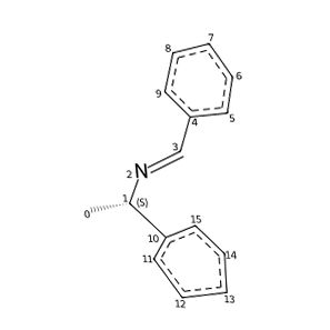 C[C@H](N=Cc1ccccc1)c1ccccc1